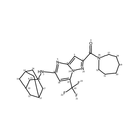 O=C(c1cc2nc(NC34CC5CC(CC(C5)C3)C4)cc(C(F)(F)F)n2n1)N1CCCCCC1